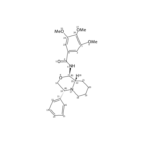 COc1cc(C(=O)N[C@@H]2OC[C@@H](c3ccccc3)N3CCCC[C@@H]23)cc(OC)c1OC